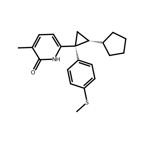 CSc1ccc([C@]2(c3ccc(C)c(=O)[nH]3)C[C@@H]2C2CCCC2)cc1